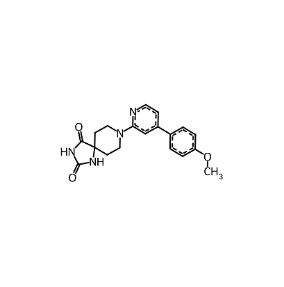 COc1ccc(-c2ccnc(N3CCC4(CC3)NC(=O)NC4=O)c2)cc1